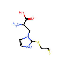 NC(CN1C=CNC1SC[C]=S)C(=O)O